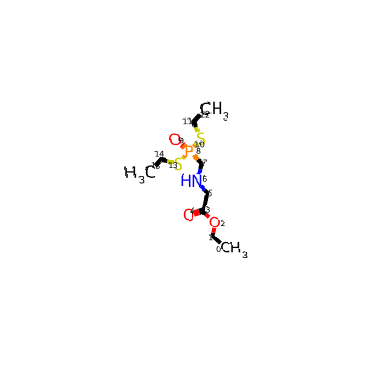 CCOC(=O)CNCP(=O)(SCC)SCC